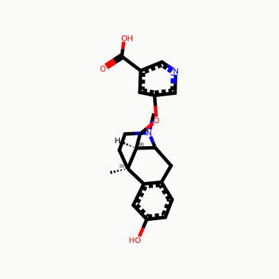 CN1CC[C@]2(C)c3cc(O)ccc3CC1[C@@H]2COc1cncc(C(=O)O)c1